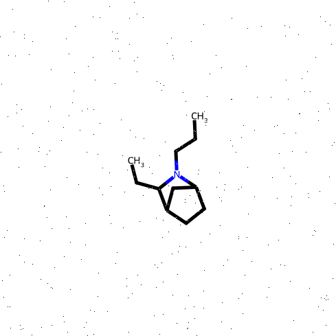 CCCN1C2CCC(C2)C1CC